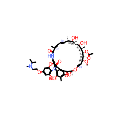 CO[C@H]1/C=C/O[C@@]2(C)Oc3c(C)c(O)c4c(=O)c(c5oc6cc(OCCN(C)C(C)C)cc(O)c6nc-5c4c3C2=O)NC(=O)/C(C)=C\C=C\[C@H](C)[C@H](O)C[C@@H](O)[C@@H](C)[C@H](OC(C)=O)[C@@H]1C